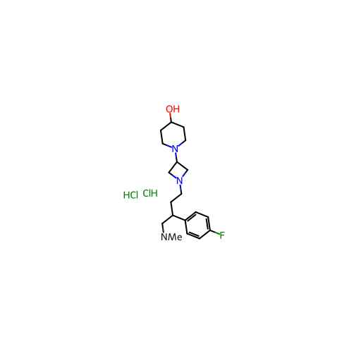 CNCC(CCN1CC(N2CCC(O)CC2)C1)c1ccc(F)cc1.Cl.Cl